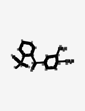 CS(=O)(=O)c1ccccc1C(=O)c1ccc(C(=O)O)c(C(=O)O)c1